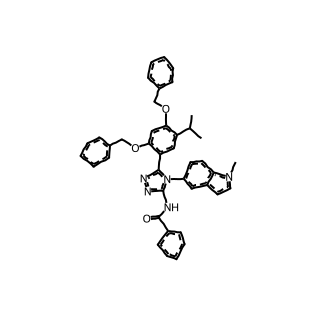 CC(C)c1cc(-c2nnc(NC(=O)c3ccccc3)n2-c2ccc3c(ccn3C)c2)c(OCc2ccccc2)cc1OCc1ccccc1